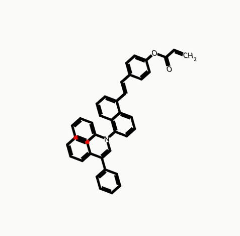 C=CC(=O)Oc1ccc(C=Cc2cccc3c(N(C=C(c4ccccc4)c4ccccc4)c4ccccc4)cccc23)cc1